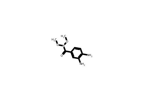 CON(OC)C(=O)c1ccc(N)c(N)c1